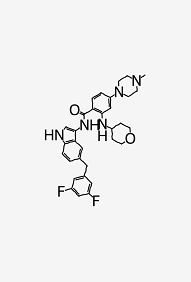 CN1CCN(c2ccc(C(=O)Nc3c[nH]c4ccc(Cc5cc(F)cc(F)c5)cc34)c(NC3CCOCC3)c2)CC1